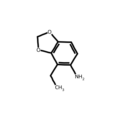 CCc1c(N)ccc2c1OCO2